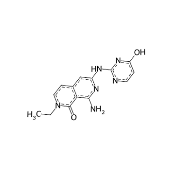 CCn1ccc2cc(Nc3nccc(O)n3)nc(N)c2c1=O